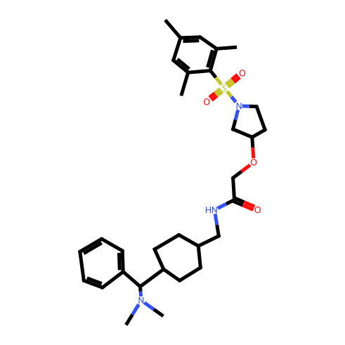 Cc1cc(C)c(S(=O)(=O)N2CCC(OCC(=O)NCC3CCC(C(c4ccccc4)N(C)C)CC3)C2)c(C)c1